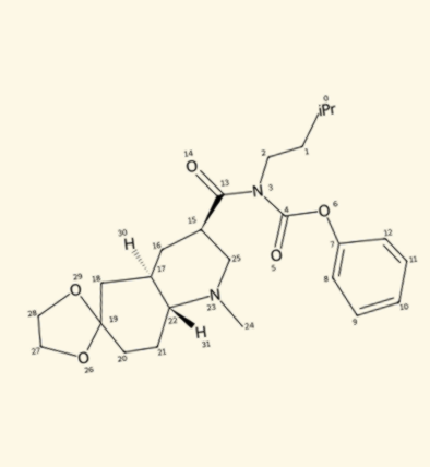 CC(C)CCN(C(=O)Oc1ccccc1)C(=O)[C@@H]1C[C@@H]2CC3(CC[C@H]2N(C)C1)OCCO3